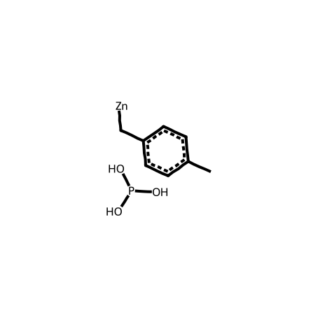 Cc1ccc([CH2][Zn])cc1.OP(O)O